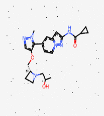 CC(O)CN1CC[C@@H]1COc1cnn(C)c1-c1ccn2nc(NC(=O)C3CC3)cc2c1